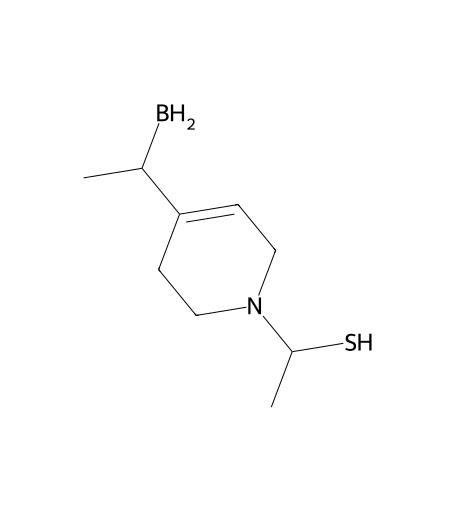 BC(C)C1=CCN(C(C)S)CC1